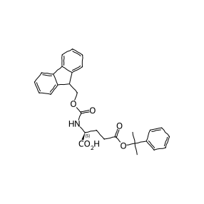 CC(C)(OC(=O)CC[C@H](NC(=O)OCC1c2ccccc2-c2ccccc21)C(=O)O)c1ccccc1